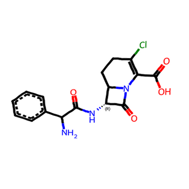 NC(C(=O)N[C@H]1C(=O)N2C(C(=O)O)=C(Cl)CCC12)c1ccccc1